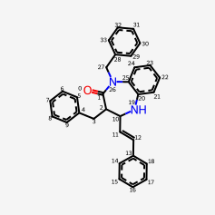 O=C1C(Cc2ccccc2)C(C=Cc2ccccc2)Nc2ccccc2N1Cc1ccccc1